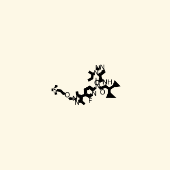 CCC(C)n1nncc1C(=O)N[C@H](C(=O)Nc1ccc(-c2c(C)nn(COCCS(C)(C)C)c2C)c(F)n1)C(C1CC1)C1CC1